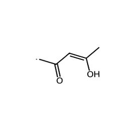 [CH2]C(=O)/C=C(/C)O